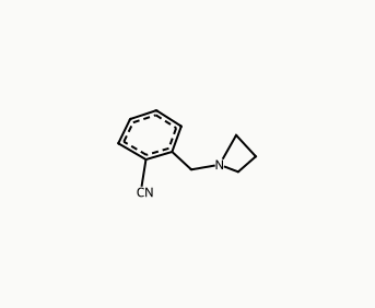 N#Cc1ccccc1CN1CCC1